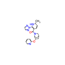 CC1C=CC(C(=O)N2CC3CC(Oc4ccccn4)C2C3)=C(n2nccn2)N1